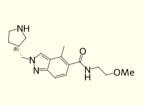 COCCNC(=O)c1ccc2nn(C[C@@H]3CCNC3)cc2c1C